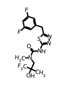 CN(CC(C)(O)C(F)(F)F)C(=O)Nc1nnc(Cc2cc(F)cc(F)c2)s1